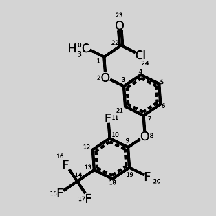 CC(Oc1cccc(Oc2c(F)cc(C(F)(F)F)cc2F)c1)C(=O)Cl